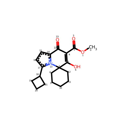 COC(=O)C1=C(O)C2(CCCCC2)n2c(ccc2C2CCC2)C1=O